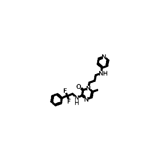 Cc1cnc(NCC(F)(F)c2ccccc2)c(=O)n1CCCNc1ccncc1